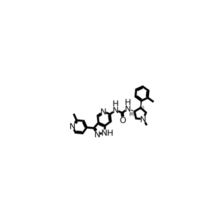 Cc1cc(-c2n[nH]c3cc(NC(=O)N[C@H]4CN(C)C[C@@H]4c4ccccc4C)ncc23)ccn1